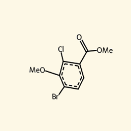 COC(=O)c1ccc(Br)c(OC)c1Cl